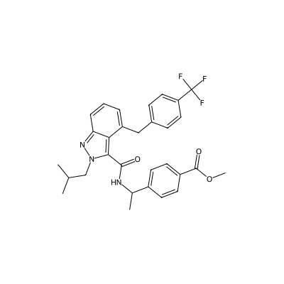 COC(=O)c1ccc(C(C)NC(=O)c2c3c(Cc4ccc(C(F)(F)F)cc4)cccc3nn2CC(C)C)cc1